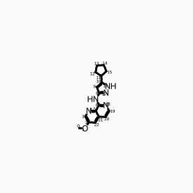 COc1cnc2c(Nc3cc(C4CCCC4)[nH]n3)nccc2c1